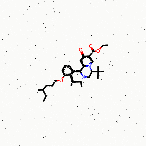 CCOC(=O)c1cn2c(cc1=O)/C(=c1\cccc(OCCCC(C)CC)\c1=C(/C)CC)N(C)CC2C(C)(C)C